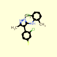 Cc1cccc(Cl)c1Nc1c(-c2ccc(F)cc2Cl)c(C)nn1C